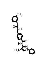 CC1C=C(OC(=O)NCc2ccc(C(=O)Nc3nn(-c4ccccc4)cc3N)cc2)C=CC1